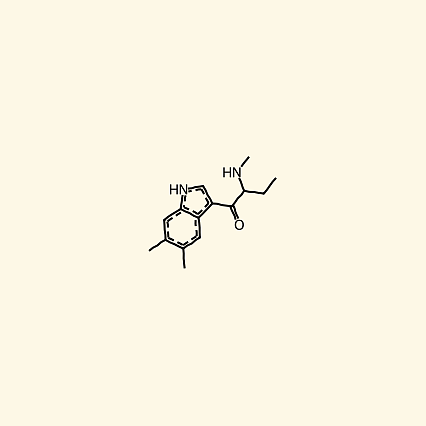 CCC(NC)C(=O)c1c[nH]c2cc(C)c(C)cc12